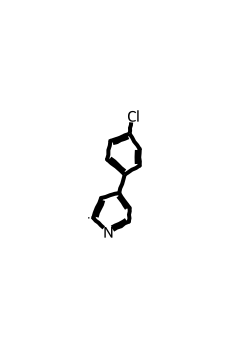 Clc1ccc(-c2c[c]ncc2)cc1